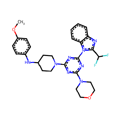 COc1ccc(NC2CCN(c3nc(N4CCOCC4)nc(-n4c(C(F)F)nc5ccccc54)n3)CC2)cc1